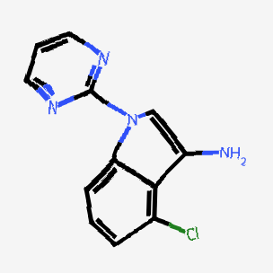 Nc1cn(-c2ncccn2)c2cccc(Cl)c12